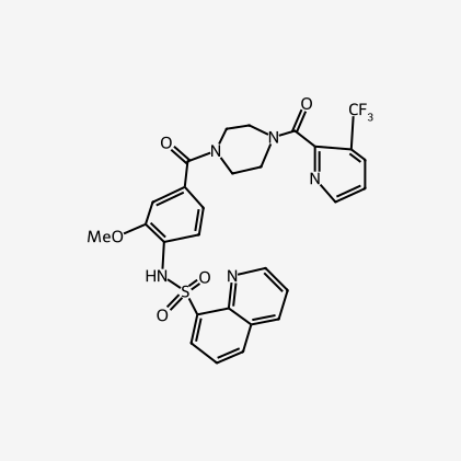 COc1cc(C(=O)N2CCN(C(=O)c3ncccc3C(F)(F)F)CC2)ccc1NS(=O)(=O)c1cccc2cccnc12